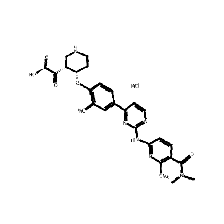 COc1nc(Nc2nccc(-c3ccc(O[C@H]4CCNC[C@H]4C(=O)[C@@H](O)F)c(C#N)c3)n2)ccc1C(=O)N(C)C.Cl